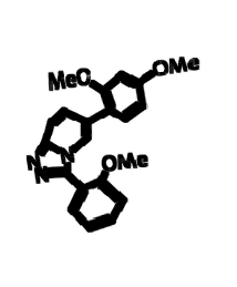 COc1ccc(-c2ccc3nnc(-c4ccccc4OC)n3c2)c(OC)c1